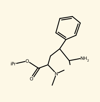 CC(C)OC(=O)C(CC(c1ccccc1)C(C)N)N(C)C